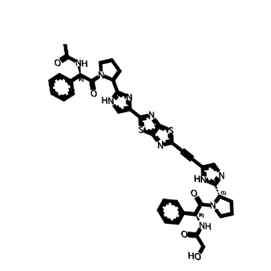 CC(=O)N[C@@H](C(=O)N1CCCC1c1nc(-c2nc3sc(C#Cc4cnc([C@@H]5CCCN5C(=O)[C@H](NC(=O)CO)c5ccccc5)[nH]4)nc3s2)c[nH]1)c1ccccc1